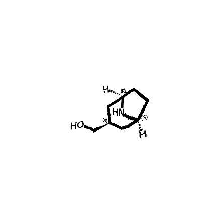 OC[C@H]1C[C@H]2CC[C@@H](C1)N2